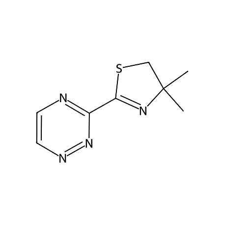 CC1(C)CSC(c2nccnn2)=N1